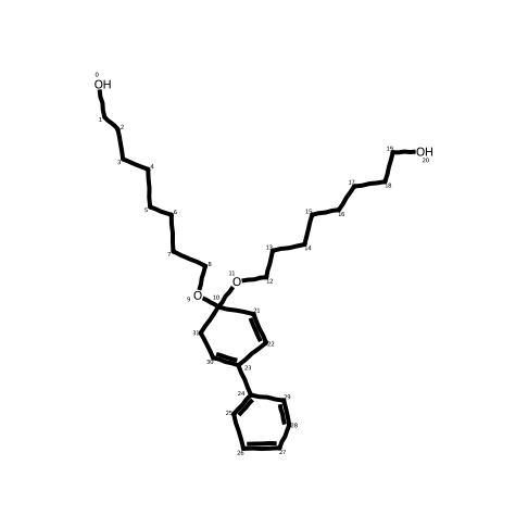 OCCCCCCCCOC1(OCCCCCCCCO)C=CC(c2ccccc2)=CC1